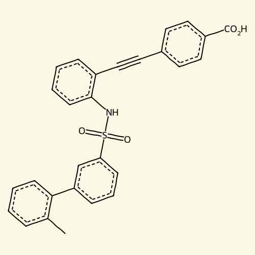 Cc1ccccc1-c1cccc(S(=O)(=O)Nc2ccccc2C#Cc2ccc(C(=O)O)cc2)c1